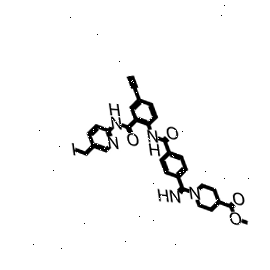 C#Cc1ccc(NC(=O)c2ccc(C(=N)N3CCC(C(=O)OC)CC3)cc2)c(C(=O)Nc2ccc(CI)cn2)c1